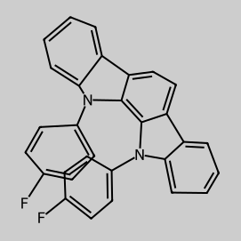 Fc1ccc(-n2c3ccccc3c3ccc4c5ccccc5n(-c5ccc(F)cc5)c4c32)cc1